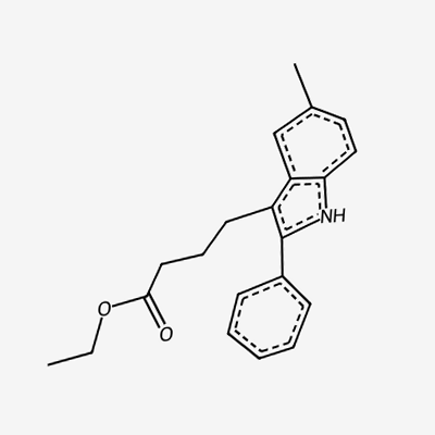 CCOC(=O)CCCc1c(-c2ccccc2)[nH]c2ccc(C)cc12